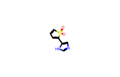 O=S1(=O)C=CC=C1c1cnc[nH]1